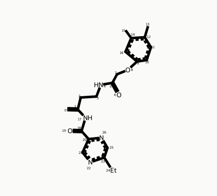 C=C(CCNC(=O)COc1ccc(C)c(C)c1)NC(=O)c1cnc(CC)cn1